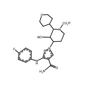 N#CC1C(C2CCOCC2)N(C(=O)O)CCC1n1cc(C(N)=O)c(Nc2ccc(F)cc2)n1